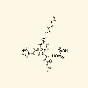 CCCCCCCCOc1ccc2c(c1)C(CCn1ccnc1)CN2CCC(=O)OCC.O=C(O)C(=O)O